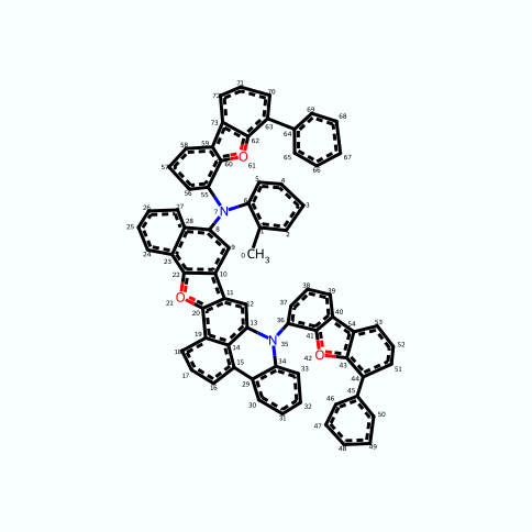 Cc1ccccc1N(c1cc2c3cc4c5c(cccc5c3oc2c2ccccc12)-c1ccccc1N4c1cccc2c1oc1c(-c3ccccc3)cccc12)c1cccc2c1oc1c(-c3ccccc3)cccc12